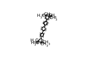 CC1(C)CC(c2ccc(C3=CCC(c4ccc(C5CC(C)(C)NC(C)(C)C5)cc4)CC3)cc2)CC(C)(C)N1